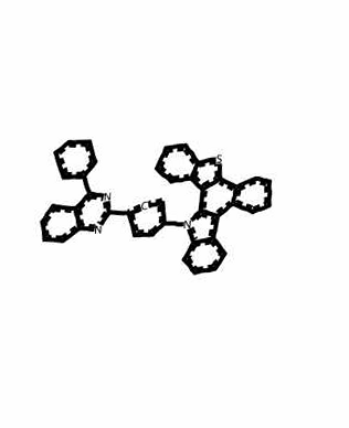 c1ccc(-c2nc(-c3ccc(-n4c5ccccc5c5c6ccccc6c6sc7ccccc7c6c54)cc3)nc3ccccc23)cc1